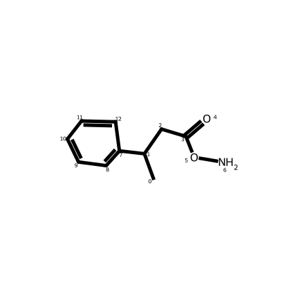 CC(CC(=O)ON)c1ccccc1